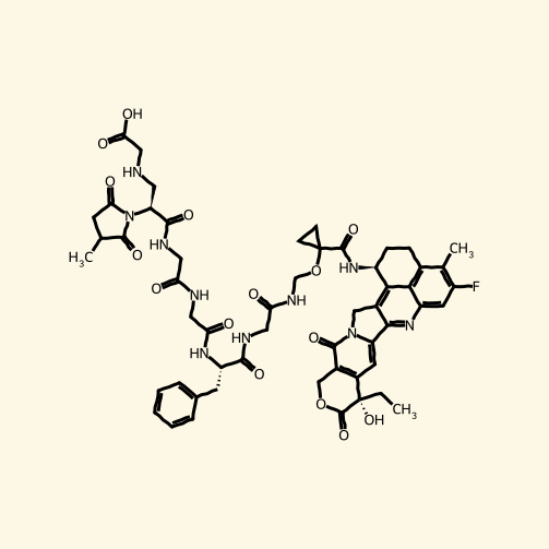 CC[C@@]1(O)C(=O)OCc2c1cc1n(c2=O)Cc2c-1nc1cc(F)c(C)c3c1c2[C@@H](NC(=O)C1(OCNC(=O)CNC(=O)[C@H](Cc2ccccc2)NC(=O)CNC(=O)CNC(=O)[C@H](CNCC(=O)O)N2C(=O)CC(C)C2=O)CC1)CC3